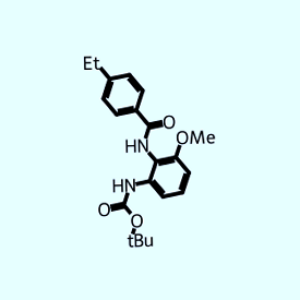 CCc1ccc(C(=O)Nc2c(NC(=O)OC(C)(C)C)cccc2OC)cc1